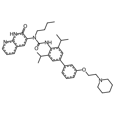 CCCCN(C(=O)Nc1c(C(C)C)cc(-c2cccc(OCCN3CCCCC3)c2)cc1C(C)C)c1cc2cccnc2[nH]c1=O